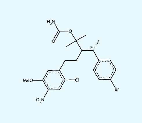 COc1cc(CCC([C@H](C)c2ccc(Br)cc2)C(C)(C)OC(N)=O)c(Cl)cc1[N+](=O)[O-]